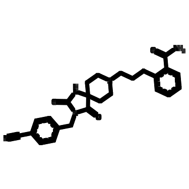 N#Cc1ccc(CN2C(=O)NC3(CCN(CC[CH]c4ccccc4C(N)=O)CC3)C2=O)cc1